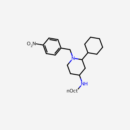 CCCCCCCCNC1CCN(Cc2ccc([N+](=O)[O-])cc2)C(C2CCCCC2)C1